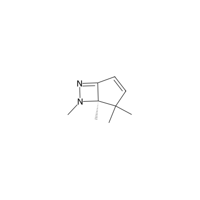 CN1N=C2C=CC(C)(C)[C@]21C